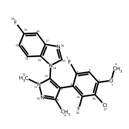 COc1cc(F)c(-c2c(C)nn(C)c2-n2cnc3cc(F)ccc32)c(F)c1Cl